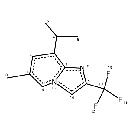 Cc1cc(C(C)C)c2nc(C(F)(F)F)cn2c1